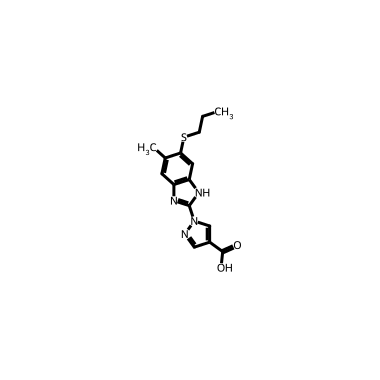 CCCSc1cc2[nH]c(-n3cc(C(=O)O)cn3)nc2cc1C